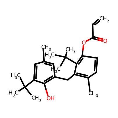 C=CC(=O)Oc1ccc(C)c(Cc2cc(C)cc(C(C)(C)C)c2O)c1C(C)(C)C